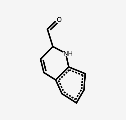 O=CC1C=Cc2ccccc2N1